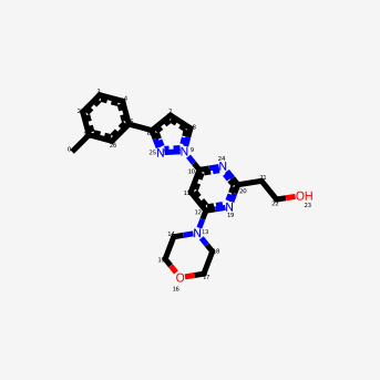 Cc1cccc(-c2ccn(-c3cc(N4CCOCC4)nc(CCO)n3)n2)c1